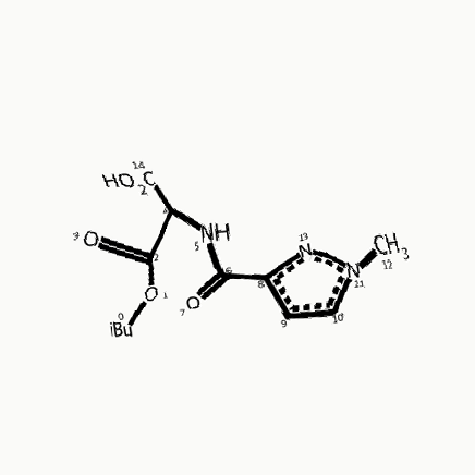 CCC(C)OC(=O)C(NC(=O)c1ccn(C)n1)C(=O)O